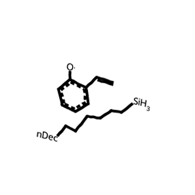 C=Cc1ccccc1[O].CCCCCCCCCCCCCCCC[SiH3]